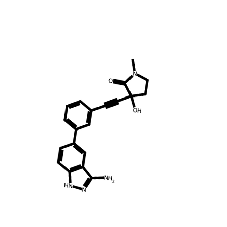 CN1CCC(O)(C#Cc2cccc(-c3ccc4[nH]nc(N)c4c3)c2)C1=O